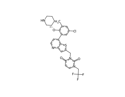 Cc1cc(Cl)cc(-c2ccnc3cc(Cn4c(=O)ccn(CC(F)(F)F)c4=O)sc23)c1O[C@H]1CCCNC1